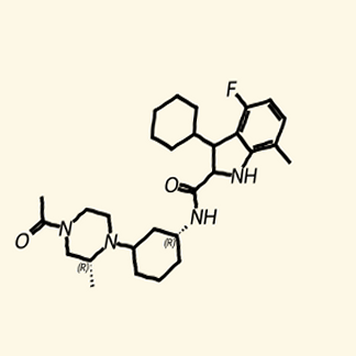 CC(=O)N1CCN(C2CCC[C@@H](NC(=O)C3Nc4c(C)ccc(F)c4C3C3CCCCC3)C2)[C@H](C)C1